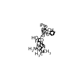 CC(C)OC(=O)[C@@H](C)N(Oc1ccccc1)[PH](=S)OC[C@H]1O[C@@H](n2cnc3c(N(C)C)nc(N)nc32)[C@](C)(F)[C@@H]1O